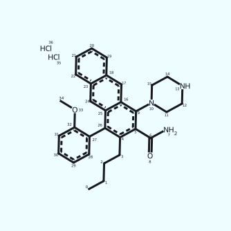 CCCCc1c(C(N)=O)c(N2CCNCC2)c2cc3ccccc3cc2c1-c1ccccc1OC.Cl.Cl